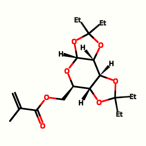 C=C(C)C(=O)OC[C@H]1O[C@@H]2OC(CC)(CC)O[C@H]2[C@H]2OC(CC)(CC)O[C@@H]21